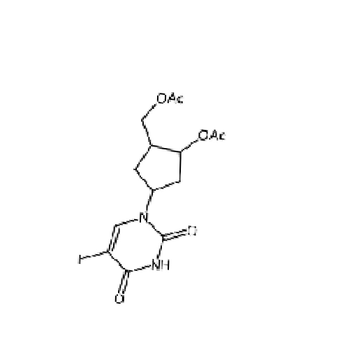 CC(=O)OCC1CC(n2cc(I)c(=O)[nH]c2=O)CC1OC(C)=O